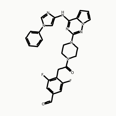 O=Cc1cc(F)c(CC(=O)N2CCN(c3nc(Nc4cn(-c5ccccc5)cn4)c4cccn4n3)CC2)c(F)c1